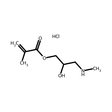 C=C(C)C(=O)OCC(O)CNC.Cl